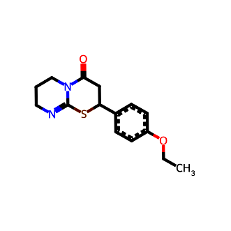 CCOc1ccc(C2CC(=O)N3CCCN=C3S2)cc1